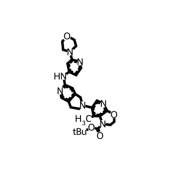 Cc1c(N2CCc3cnc(Nc4ccnc(N5CCOCC5)c4)cc3C2)cnc2c1N(C(=O)OC(C)(C)C)CCO2